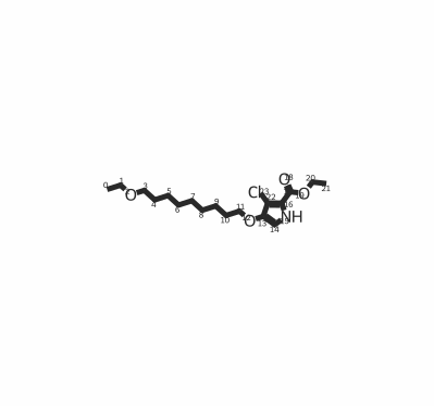 CCOCCCCCCCCCOc1c[nH]c(C(=O)OCC)c1Cl